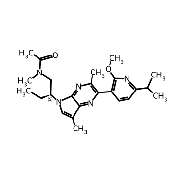 CC[C@@H](CN(C)C(C)=O)n1cc(C)c2nc(-c3ccc(C(C)C)nc3OC)c(C)nc21